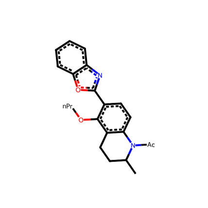 CCCOc1c(-c2nc3ccccc3o2)ccc2c1CCC(C)N2C(C)=O